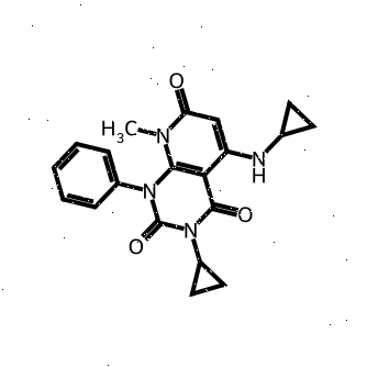 Cn1c(=O)cc(NC2CC2)c2c(=O)n(C3CC3)c(=O)n(-c3ccccc3)c21